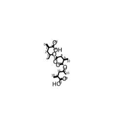 C=C(CC(C)OC(=O)CC(=C)C(=O)OC(C)CC(=C)C(=O)O)C(=O)O